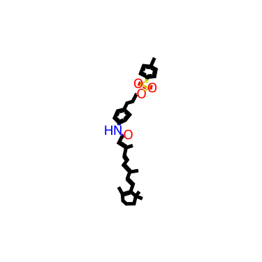 CC1=C(/C=C/C(C)=C/C=C/C(C)=C/C(=O)Nc2ccc(CCCOS(=O)(=O)c3ccc(C)cc3)cc2)C(C)(C)CCC1